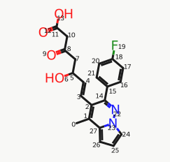 Cc1c(C=CC(O)CC(=O)CC(=O)O)c(-c2ccc(F)cc2)nn2cccc12